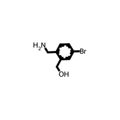 NCc1ccc(Br)cc1CO